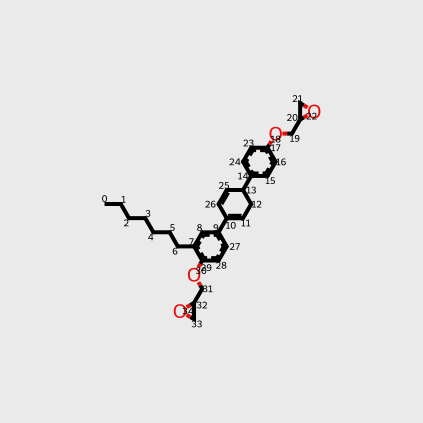 CCCCCCCc1cc(C2=CCC(c3ccc(OCC4CO4)cc3)C=C2)ccc1OCC1CO1